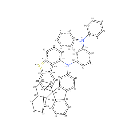 c1ccc(-n2c3ccccc3c3c(N(c4ccc5c(c4)C4(c6ccccc6-5)C5CCC6CCC(C5)CC64)c4cccc5sc6ccccc6c45)cccc32)cc1